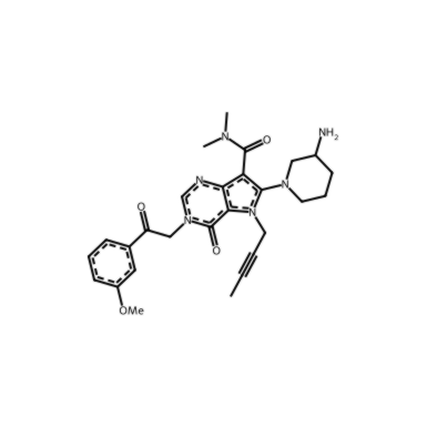 CC#CCn1c(N2CCCC(N)C2)c(C(=O)N(C)C)c2ncn(CC(=O)c3cccc(OC)c3)c(=O)c21